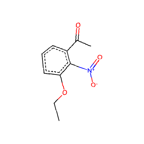 CCOc1cccc(C(C)=O)c1[N+](=O)[O-]